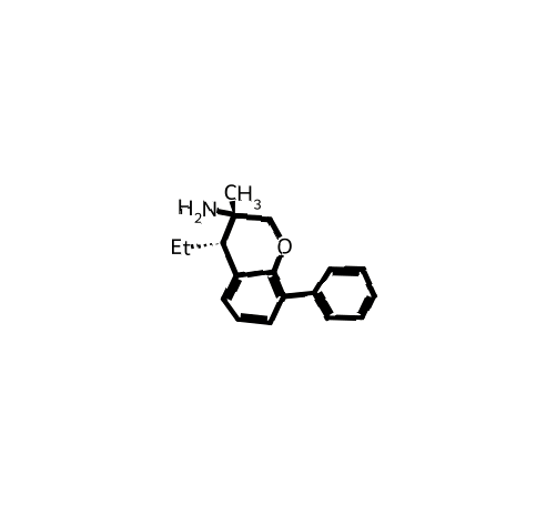 CC[C@H]1c2cccc(-c3ccccc3)c2OC[C@@]1(C)N